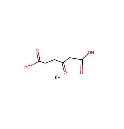 O=C(O)CCC(=O)CC(=O)O.[KH]